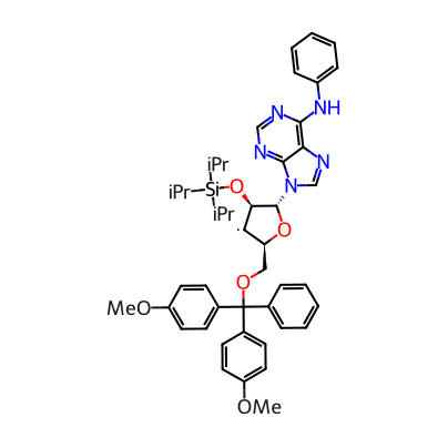 COc1ccc(C(OC[C@H]2[CH][C@@H](O[Si](C(C)C)(C(C)C)C(C)C)[C@H](n3cnc4c(Nc5ccccc5)ncnc43)O2)(c2ccccc2)c2ccc(OC)cc2)cc1